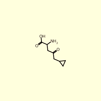 NC(CC(=O)CC1CC1)C(=O)O